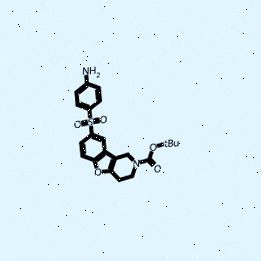 CC(C)(C)OC(=O)N1CCc2oc3ccc(S(=O)(=O)c4ccc(N)cc4)cc3c2C1